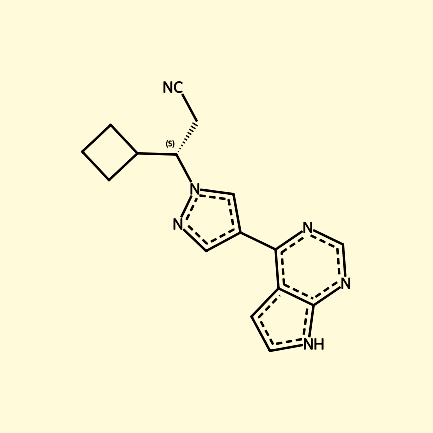 N#CC[C@@H](C1CCC1)n1cc(-c2ncnc3[nH]ccc23)cn1